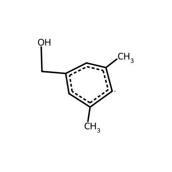 Cc1[c]c(C)cc(CO)c1